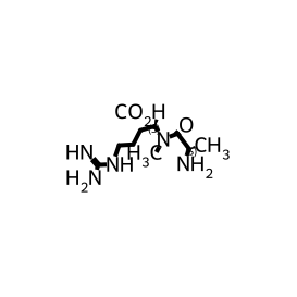 C[C@H](N)C(=O)N(C)[C@@H](CCCNC(=N)N)C(=O)O